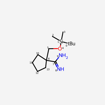 CC(C)(C)[Si](C)(C)OCC1(C(=N)N)CCCC1